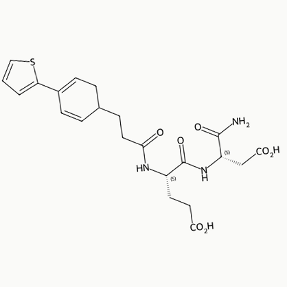 NC(=O)[C@H](CC(=O)O)NC(=O)[C@H](CCC(=O)O)NC(=O)CCC1C=CC(c2cccs2)=CC1